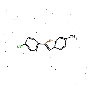 Cc1ccc2cc(-c3ccc(Cl)cc3)sc2c1